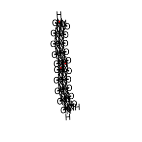 CN1C(=O)N2CN3C(=O)N4CN5C(=O)N6CN7C(=O)N8CN9C(=O)N(CN%10C(=O)N%11CN%12C(=O)N%13CN%14C(=O)N%15CN%16C(=O)N%17CN%18C(=O)N[C@@H]%19NC(=O)N(CN%20C(=O)N(CN%21C(=O)N(CN%22C(=O)N(CN%23C(=O)N[C@H]%10[C@@H]%23%11)[C@H]%12[C@@H]%22%13)[C@H]%14[C@@H]%21%15)[C@H]%16[C@@H]%20%17)[C@@H]%19%18)[C@H]%10NC(=O)N(CN%11C(=O)N(CN%12C(=O)N(CN%13C(=O)N(CN%14C(=O)N[C@@H]1[C@H]%142)[C@@H]3[C@H]%134)[C@@H]5[C@H]%126)[C@@H]7[C@H]%118)[C@H]%109